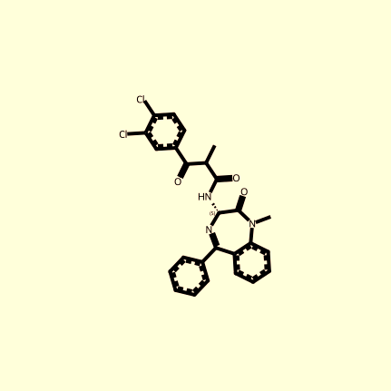 CC(C(=O)N[C@H]1N=C(c2ccccc2)c2ccccc2N(C)C1=O)C(=O)c1ccc(Cl)c(Cl)c1